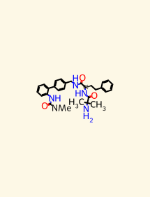 CNC(=O)Nc1ccccc1-c1ccc(CNC(=O)[C@@H](CCc2ccccc2)NC(=O)C(C)(C)N)cc1